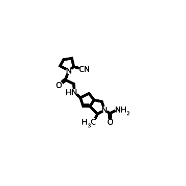 CC1C2=CC(NCC(=O)N3CCCC3C#N)CC2CN1C(N)=O